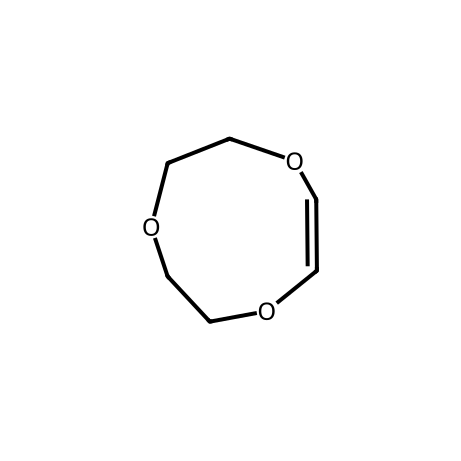 C1=C\OCCOCCO/1